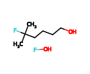 CC(C)(F)CCCCO.OF